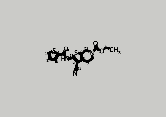 CCOC(=O)N1CCc2c(sc(NC(=O)c3cccs3)c2C#N)C1